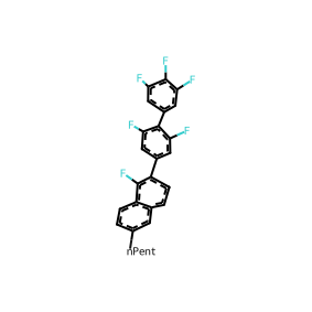 CCCCCc1ccc2c(F)c(-c3cc(F)c(-c4cc(F)c(F)c(F)c4)c(F)c3)ccc2c1